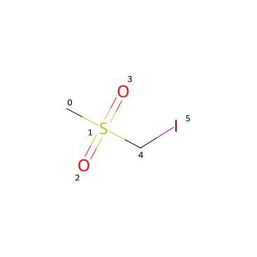 CS(=O)(=O)CI